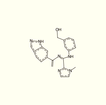 C=C(/N=C(/Nc1cccc(CO)c1)c1nccn1C)c1ccc2cn[nH]c2c1